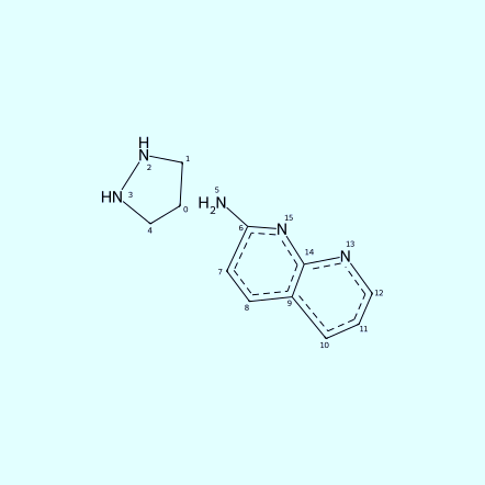 C1CNNC1.Nc1ccc2cccnc2n1